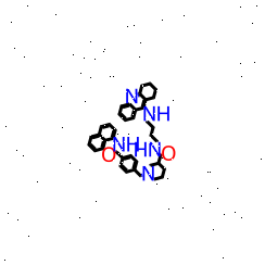 O=C(Nc1cccc2ccccc12)c1ccc(CN2CCCC(C(=O)NCCCCNc3c4c(nc5ccccc35)CCCC4)C2)cc1